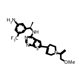 C=C(COC)N1CC=C(c2cc3c(N[C@H](C)c4cc(N)cc(C(F)(F)F)c4)ncnc3s2)CC1